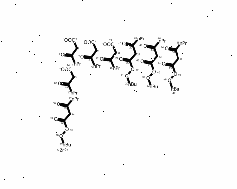 CCCC(=O)CC(=O)[O-].CCCC(=O)CC(=O)[O-].CCCC(=O)CC(=O)[O-].CCCC(=O)CC(=O)[O-].CCCCOOC(=O)CC(=O)CCC.CCCCOOC(=O)CC(=O)CCC.CCCCOOC(=O)CC(=O)CCC.CCCCOOC(=O)CC(=O)CCC.[Zr+4]